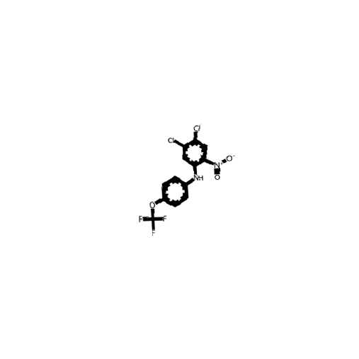 O=[N+]([O-])c1cc(Cl)c(Cl)cc1Nc1ccc(OC(F)(F)F)cc1